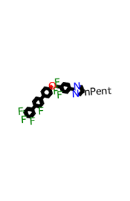 CCCCCc1cnc(-c2ccc(C(F)(F)OC3CCC(c4ccc(-c5cc(F)c(F)c(F)c5)c(F)c4)CC3)c(F)c2)nc1